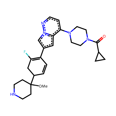 COC1(C2C=CC(c3cc4c(N5CCN(C(=O)C6CC6)CC5)ccnn4c3)=C(F)C2)CCNCC1